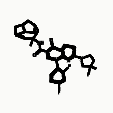 CC1(F)CCN(c2ccc3c(=O)c(C(=O)NC4(C)C=C5CC6CC(CC56)C4)cn(-c4ccc(F)cc4F)c3n2)C1